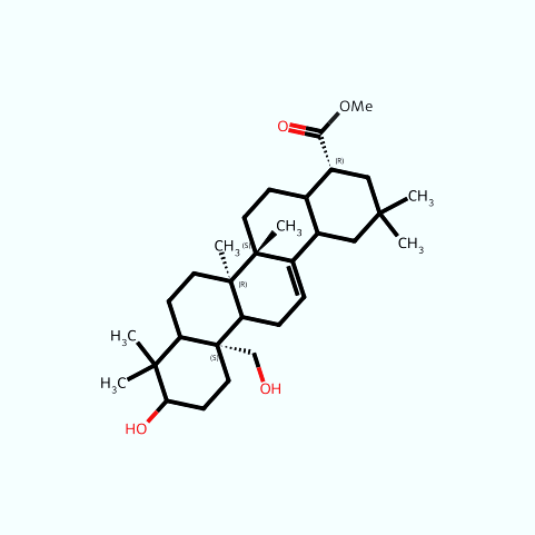 COC(=O)[C@@H]1CC(C)(C)CC2C3=CCC4[C@@]5(CO)CCC(O)C(C)(C)C5CC[C@@]4(C)[C@]3(C)CCC21